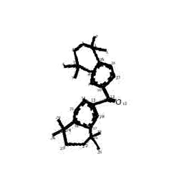 CC1(C)CCC(C)(C)c2cc(C(=O)c3ccc4c(c3)C(C)(C)CCC4(C)C)ccc21